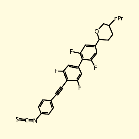 CCCC1CCC(c2cc(F)c(-c3cc(F)c(C#Cc4ccc(N=C=S)cc4)c(F)c3)c(F)c2)OC1